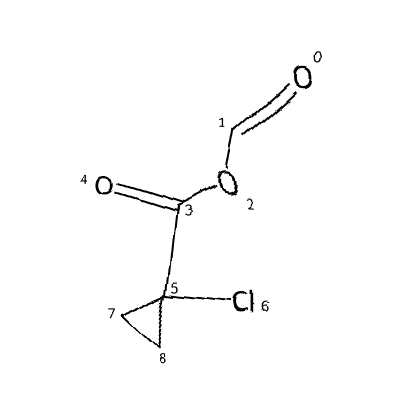 O=COC(=O)C1(Cl)CC1